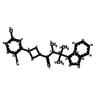 CN(C(=O)C1CN(c2nc(Cl)ncc2F)C1)C(C)(C)c1cnc2ccccn12